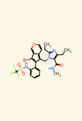 CCc1nc(CC)n(Cc2c3ccocc-3c(Br)c2-c2ccccc2NS(=O)(=O)C(F)(F)F)c1C(=O)NC